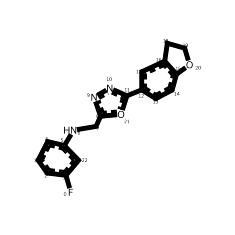 Fc1cccc(NCc2nnc(-c3ccc4c(c3)CCO4)o2)c1